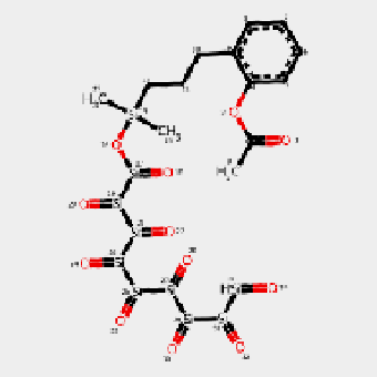 CC(=O)Oc1ccccc1CCC[Si](C)(C)O[Si](=O)[Si](=O)[Si](=O)[Si](=O)[Si](=O)[Si](=O)[Si](=O)[Si](=O)[SiH]=O